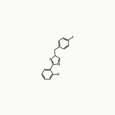 Fc1ccccc1C1=NC(Cc2ccc(I)cc2)C=N1